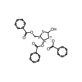 O=C(OC[C@H]1SC(O)[C@H](OC(=O)c2ccccc2)[C@H]1OC(=O)c1ccccc1)c1ccccc1